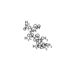 CC(C)C[C@H](C(=O)C(C)(C)C)N(C)C(=O)[C@@H]1CCCN1C(=O)[C@H](C)OC(=O)[C@H](CCC(N)=O)NC(=O)C1CCC(=O)N1